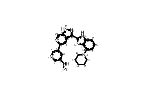 CC(C)Nc1cncc(-c2cc3c(-c4nc5c(N6CCCCC6)cccc5[nH]4)n[nH]c3cn2)c1